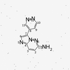 Nc1ccc2ncc(-c3ccnnc3)n2n1